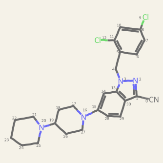 N#Cc1nn(Cc2ccc(Cl)cc2Cl)c2cc(N3CCC(N4CCCCC4)CC3)ccc12